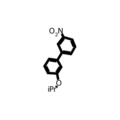 CC(C)Oc1cccc(-c2cccc([N+](=O)[O-])c2)c1